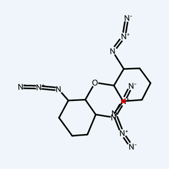 [N-]=[N+]=NC1CCCC(N=[N+]=[N-])C1OC1C(N=[N+]=[N-])CCCC1N=[N+]=[N-]